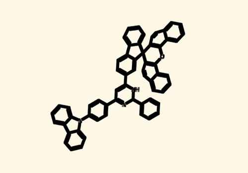 C1=C(c2ccc3c(c2)C2(c4ccccc4-3)c3ccc4ccccc4c3Oc3c2ccc2ccccc32)NC(c2ccccc2)N=C1c1ccc(-n2c3ccccc3c3ccccc32)cc1